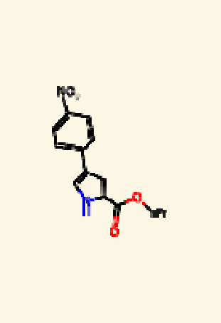 CCCOC(=O)c1cc(-c2ccc([N+](=O)[O-])cc2)c[nH]1